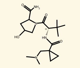 CN(C)CC1(C(=O)N[C@H](C(=O)N2CC(O)CC2C(N)=O)C(C)(C)C)CC1